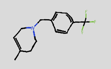 CC1=CCN(Cc2ccc(C(F)(F)F)cc2)CC1